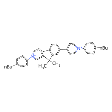 CCCCc1ccc(-[n+]2ccc(-c3ccc4c(c3)C(C)(C)c3c[n+](-c5ccc(CCCC)cc5)ccc3-4)cc2)cc1